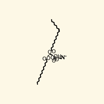 CCCCCC/C=C\CCCCCCCCCC(=O)O[C@H](COC(=O)CCCCCCCCCCCCC)COP(=O)(O)OCC[N+](C)(C)C